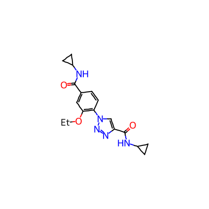 CCOc1cc(C(=O)NC2CC2)ccc1-n1cc(C(=O)NC2CC2)nn1